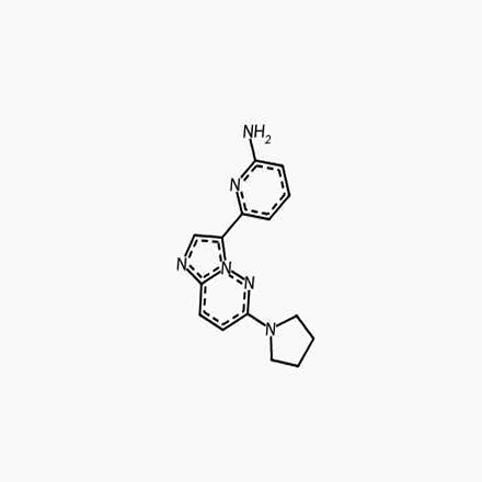 Nc1cccc(-c2cnc3ccc(N4CCCC4)nn23)n1